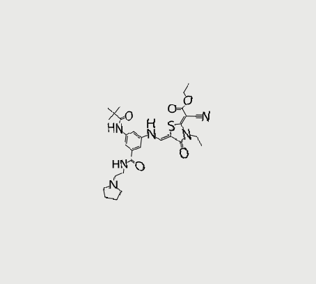 CCOC(=O)C(C#N)=c1sc(=CNc2cc(NC(=O)C(C)(C)C)cc(C(=O)NCCN3CCCC3)c2)c(=O)n1CC